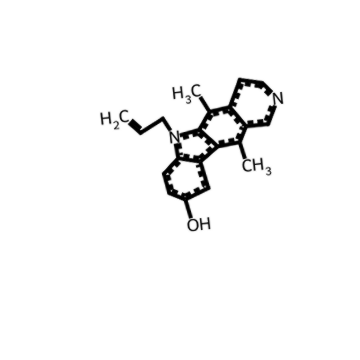 C=CCn1c2ccc(O)cc2c2c(C)c3cnccc3c(C)c21